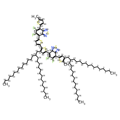 CCCCCCCCCCCCCCC(CCCCCCCCCCCCCC)Cc1cc(-c2c(F)c(F)c(-c3cc(CC(CCCCCCCCCCCCCC)CCCCCCCCCCCCCC)c(-c4ccc(-c5c(F)c(F)c(-c6ccc(C)s6)c6nsnc56)s4)s3)c3nsnc23)sc1C